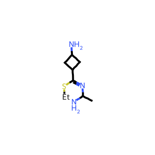 CCS/C(=N\C(C)N)C1CC(N)C1